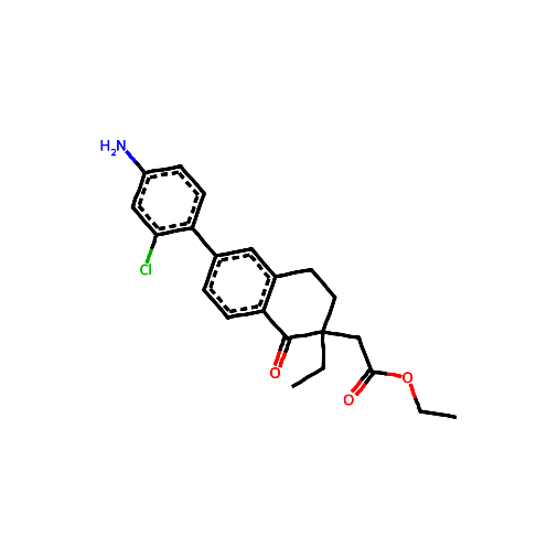 CCOC(=O)CC1(CC)CCc2cc(-c3ccc(N)cc3Cl)ccc2C1=O